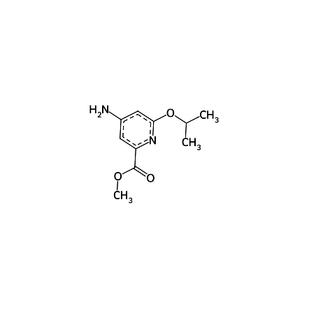 COC(=O)c1cc(N)cc(OC(C)C)n1